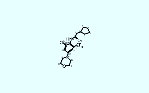 O=C(CC1CCCC1)Nc1c(Cl)cc(N2CCOCC2)cc1C(F)(F)F